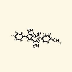 Cc1ccc(S(=O)(=O)OC(C#N)c2cc(-c3ccccc3)n(C)n2)cc1